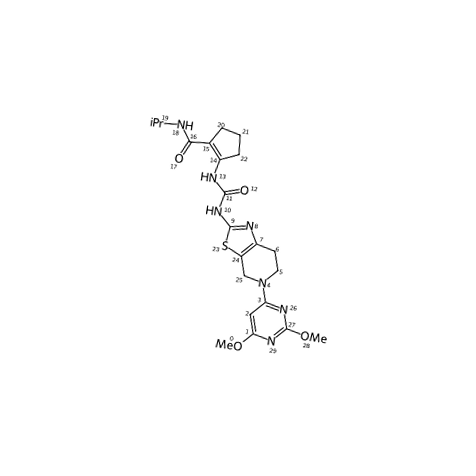 COc1cc(N2CCc3nc(NC(=O)NC4=C(C(=O)NC(C)C)CCC4)sc3C2)nc(OC)n1